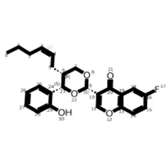 CCC/C=C\C[C@@H]1CO[C@H](c2coc3ccc(F)cc3c2=O)O[C@@H]1c1ccccc1O